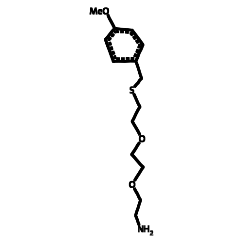 COc1ccc(CSCCOCCOCCN)cc1